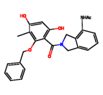 CC(=O)Nc1cccc2c1CN(C(=O)c1c(O)cc(O)c(C)c1OCc1ccccc1)C2